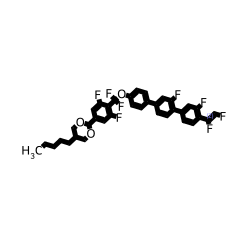 CCCCCC1COC(c2cc(F)c(C(F)(F)Oc3ccc(-c4ccc(-c5ccc(/C(F)=C/F)c(F)c5)c(F)c4)cc3)c(F)c2)OC1